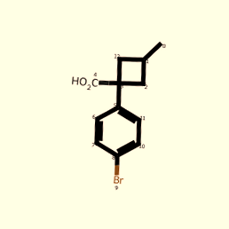 CC1CC(C(=O)O)(c2ccc(Br)cc2)C1